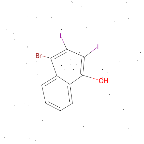 Oc1c(I)c(I)c(Br)c2ccccc12